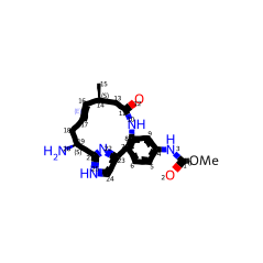 COC(=O)Nc1ccc2c(c1)NC(=O)C[C@H](C)/C=C/C[C@H](N)c1nc-2c[nH]1